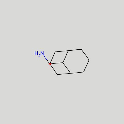 NCC1C2CCCC1CCC2